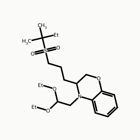 CCOC(CN1c2ccccc2OCC1CCCS(=O)(=O)C(C)(C)CC)OCC